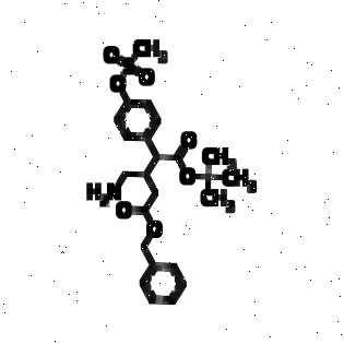 CC(C)(C)OC(=O)C(c1ccc(OS(C)(=O)=O)cc1)C(CN)CC(=O)OCc1ccccc1